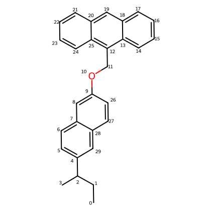 CCC(C)c1ccc2cc(OCc3c4ccccc4cc4ccccc34)ccc2c1